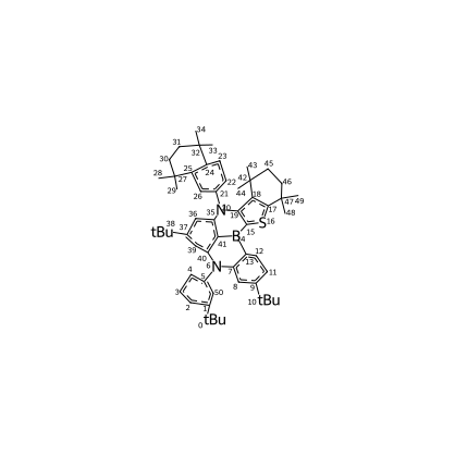 CC(C)(C)c1cccc(N2c3cc(C(C)(C)C)ccc3B3c4sc5c(c4N(c4ccc6c(c4)C(C)(C)CCC6(C)C)c4cc(C(C)(C)C)cc2c43)C(C)(C)CCC5(C)C)c1